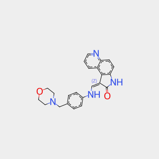 O=C1Nc2ccc3ncccc3c2/C1=C/Nc1ccc(CN2CCOCC2)cc1